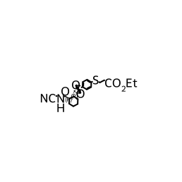 CCOC(=O)CCSc1ccc(S(=O)(=O)C[C@@H]2CCCC[C@H]2C(=O)NCC#N)cc1